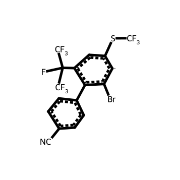 N#Cc1ccc(-c2c(Br)[c]c(SC(F)(F)F)cc2C(F)(C(F)(F)F)C(F)(F)F)cc1